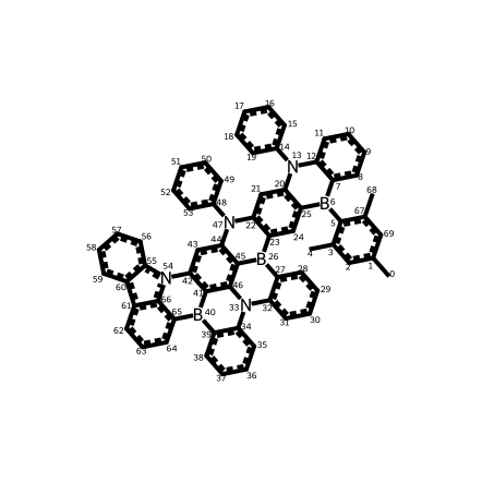 Cc1cc(C)c(B2c3ccccc3N(c3ccccc3)c3cc4c(cc32)B2c3ccccc3N3c5ccccc5B5c6c(cc(c2c63)N4c2ccccc2)-n2c3ccccc3c3cccc5c32)c(C)c1